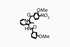 COc1cccc(C(=O)Nc2c(C)c(C(=O)c3ccc([N+](=O)[O-])c(OC)c3)n3ccccc23)c1